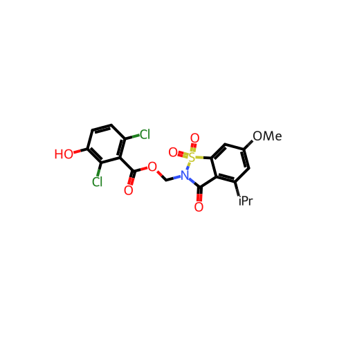 COc1cc(C(C)C)c2c(c1)S(=O)(=O)N(COC(=O)c1c(Cl)ccc(O)c1Cl)C2=O